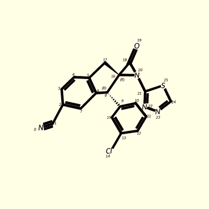 N#Cc1ccc2c(c1)[C@@H](c1cccc(Cl)c1)[C@]1(C2)C(=O)N1c1nncs1